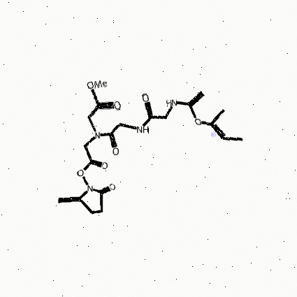 C=C(NCC(=O)NCC(=O)N(CC(=O)OC)CC(=O)ON1C(=C)CCC1=O)O/C(C)=C/C